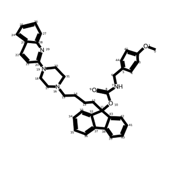 COc1ccc(CNC(=O)OC2(CCCCN3CCN(c4ccc5ccccc5n4)CC3)c3ccccc3-c3ccccc32)cc1